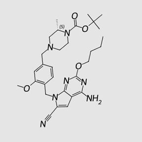 CCCCOc1nc(N)c2cc(C#N)n(Cc3ccc(CN4CCN(C(=O)OC(C)(C)C)[C@@H](C)C4)cc3OC)c2n1